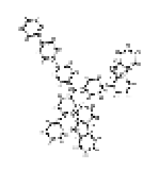 c1ccc(-c2ccc(-c3ccc(N(c4ccc(-c5ccccc5-n5c6ccccc6c6ccccc65)cc4)c4ccc(-c5cccc6c5oc5ccccc56)cc4)cc3)cc2)cc1